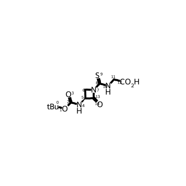 CC(C)(C)OC(=O)N[C@H]1CN(C(=S)NCC(=O)O)C1=O